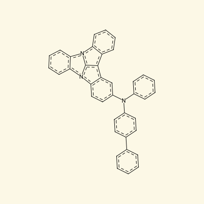 c1ccc(-c2ccc(N(c3ccccc3)c3ccc4c(c3)c3c5ccccc5n5c6ccccc6n4c35)cc2)cc1